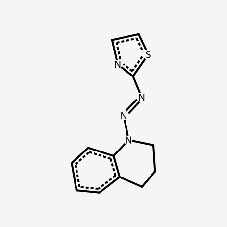 c1ccc2c(c1)CCCN2N=Nc1nccs1